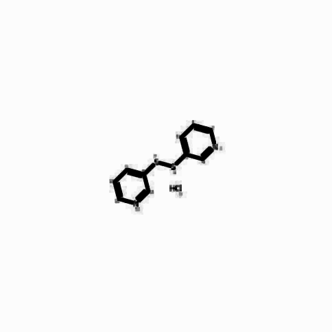 Cl.c1cncc(SSc2cccnc2)c1